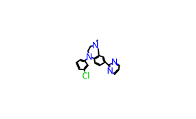 CN1CCN(c2cccc(Cl)c2)c2ccc(-c3ncccn3)cc2C1